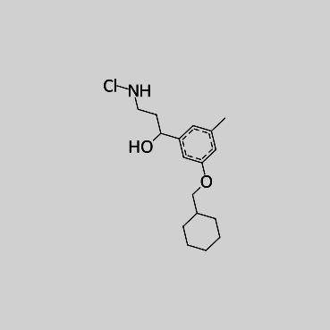 Cc1cc(OCC2CCCCC2)cc(C(O)CCNCl)c1